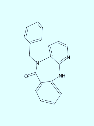 O=C1c2ccccc2Nc2ncccc2N1Cc1ccccc1